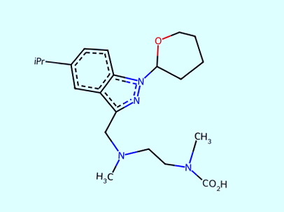 CC(C)c1ccc2c(c1)c(CN(C)CCN(C)C(=O)O)nn2C1CCCCO1